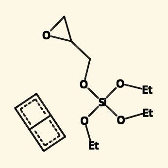 CCO[Si](OCC)(OCC)OCC1CO1.c1cc2ccc1-2